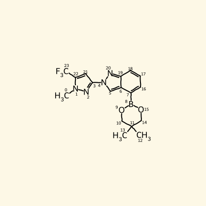 Cn1nc(-n2cc3c(B4OCC(C)(C)CO4)cccc3n2)cc1C(F)(F)F